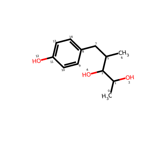 CC(O)C(O)C(C)Cc1ccc(O)cc1